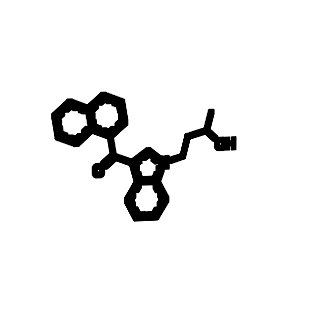 CC(O)CCn1cc(C(=O)c2cccc3ccccc23)c2ccccc21